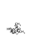 C=C(CC)C(=O)OOCC.C=CC(=O)O